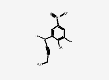 CCC#CN(C)c1cc([N+](=O)[O-])cc(Br)c1C